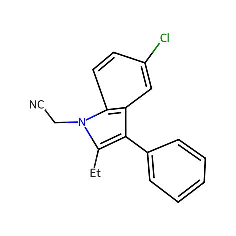 CCc1c(-c2ccccc2)c2cc(Cl)ccc2n1CC#N